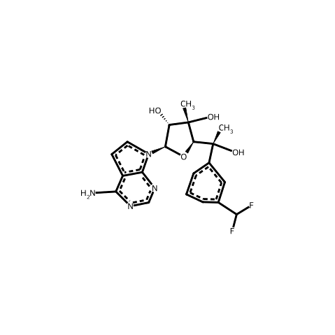 C[C@]1(O)[C@@H](O)[C@H](n2ccc3c(N)ncnc32)O[C@@H]1[C@](C)(O)c1cccc(C(F)F)c1